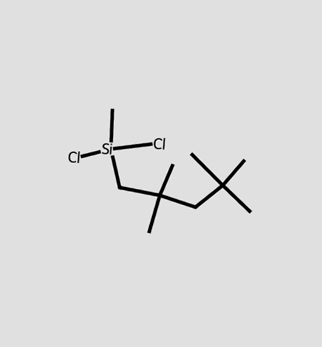 CC(C)(C)CC(C)(C)C[Si](C)(Cl)Cl